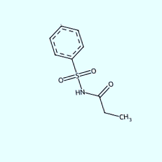 CCC(=O)NS(=O)(=O)c1cc[c]cc1